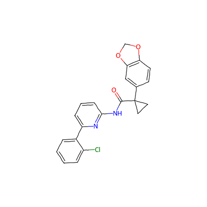 O=C(Nc1cccc(-c2ccccc2Cl)n1)C1(c2ccc3c(c2)OCO3)CC1